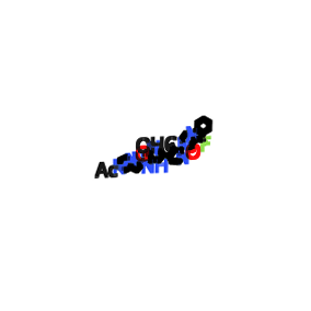 CC(=O)N1CCn2nc(Nc3cc(-c4ccnc(N5CCn6c7c(c(F)c6C5=O)CCCC7)c4C=O)cn(C)c3=O)cc2C1